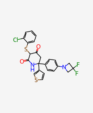 O=C1CC(c2ccc(N3CC(F)(F)C3)cc2)(c2ccsc2)NC(=O)C1Sc1ccccc1Cl